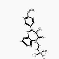 COc1ccc([C@@H]2Sc3ccccc3N(CC[N+](C)(C)[O-])C(=O)[C@@H]2O)cc1